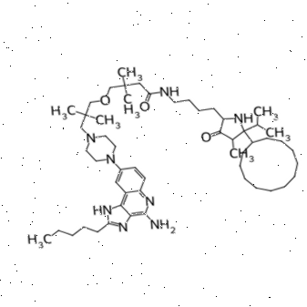 CCCCCc1nc2c(N)nc3ccc(N4CCN(CC(C)(C)COCC(C)(C)CC(=O)NCCCCC5NC(C(C)C)(C6CCCCCCCCCCC6)C(C)C5=O)CC4)cc3c2[nH]1